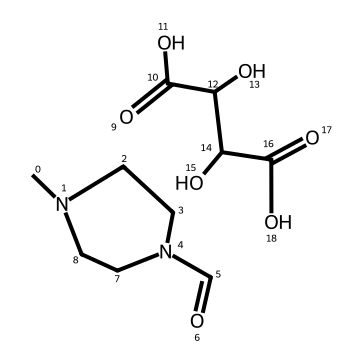 CN1CCN(C=O)CC1.O=C(O)C(O)C(O)C(=O)O